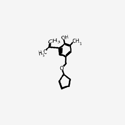 Cc1cc(COC2CCCC2)cc(C(C)C)c1O